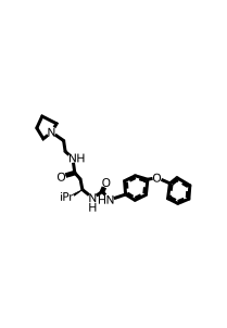 CC(C)[C@@H](CC(=O)NCCN1CCCC1)NC(=O)Nc1ccc(Oc2ccccc2)cc1